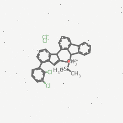 CCC1=Cc2c(-c3cccc(Cl)c3Cl)cccc2C1c1cccc2c1[CH]([Zr+2][SiH](C)C)c1ccccc1-2.[Cl-].[Cl-]